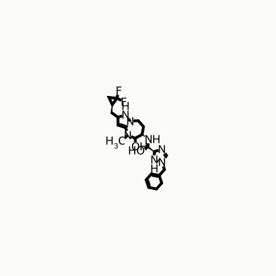 CN1C2=CC(C[C@H]3CC3(F)F)NN2CC[C@H](NC(O)[C@H]2N=CN(CC3=CC=CCC3)N2)C1O